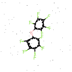 Fc1c(F)c(F)c([B]c2c(F)c(F)c(F)c(F)c2F)c(F)c1F